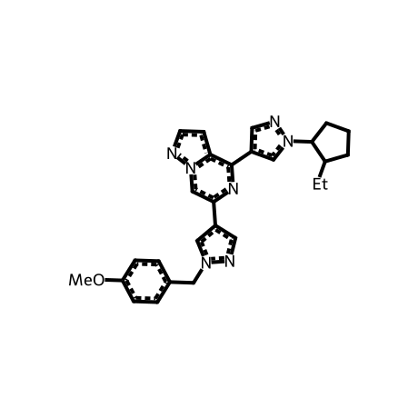 CCC1CCCC1n1cc(-c2nc(-c3cnn(Cc4ccc(OC)cc4)c3)cn3nccc23)cn1